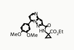 CCOC(=O)C1(NC(=O)c2cc3nccc(-c4ccc(OC)c(OC)c4)n3n2)CC1